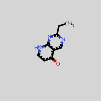 CCc1ncc2c(=O)cc[nH]c2n1